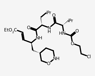 CCOC(=O)/C=C/[C@H](C[C@@H]1CCNOC1)NC(=O)[C@H](CC(C)C)NC(=O)[C@@H](NC(=O)OCCCl)C(C)C